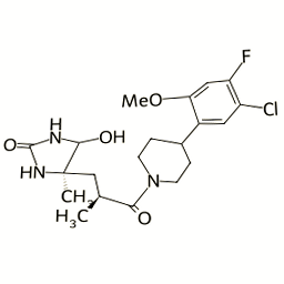 COc1cc(F)c(Cl)cc1C1CCN(C(=O)[C@@H](C)C[C@@]2(C)NC(=O)NC2O)CC1